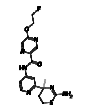 C[C@@]1(c2cc(NC(=O)c3cnc(OCCF)cn3)ccn2)CCSC(N)=N1